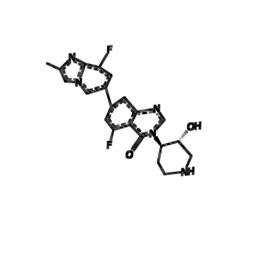 Cc1cn2cc(-c3cc(F)c4c(=O)n([C@@H]5CCNC[C@H]5O)cnc4c3)cc(F)c2n1